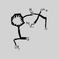 CCC(=O)c1cccc(NC(C)(C)CCl)c1